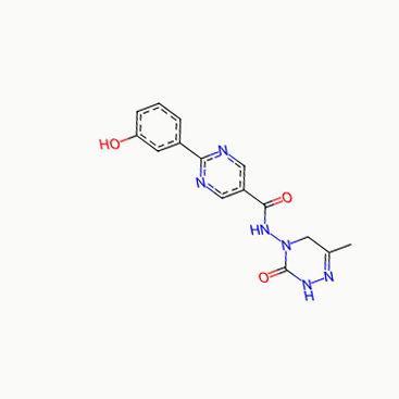 CC1=NNC(=O)N(NC(=O)c2cnc(-c3cccc(O)c3)nc2)C1